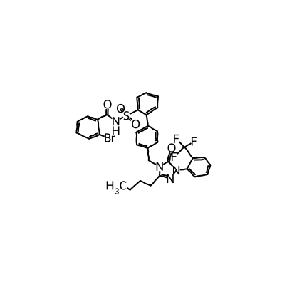 CCCCc1nn(-c2ccccc2C(F)(F)F)c(=O)n1Cc1ccc(-c2ccccc2S(=O)(=O)NC(=O)c2ccccc2Br)cc1